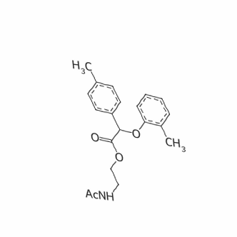 CC(=O)NCCOC(=O)C(Oc1ccccc1C)c1ccc(C)cc1